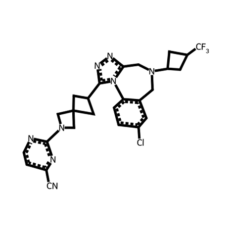 N#Cc1ccnc(N2CC3(CC(c4nnc5n4-c4ccc(Cl)cc4CN(C4CC(C(F)(F)F)C4)C5)C3)C2)n1